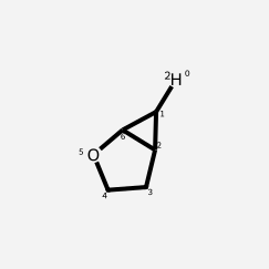 [2H]C1C2CCOC12